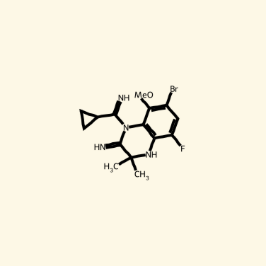 COc1c(Br)cc(F)c2c1N(C(=N)C1CC1)C(=N)C(C)(C)N2